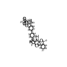 CC(OC(=O)Nc1c(Cl)cnn1-c1ccc(-c2ccc(C3(C(=O)NS(C)(=O)=O)CC3)cc2)cc1)c1ccccc1